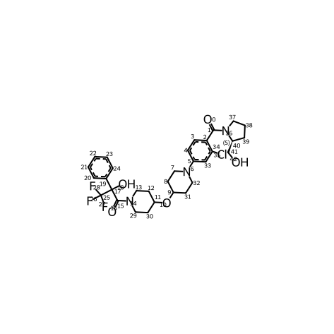 O=C(c1ccc(N2CCC(OC3CCN(C(=O)C(O)(c4ccccc4)C(F)(F)F)CC3)CC2)cc1Cl)N1CCC[C@H]1CO